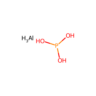 OP(O)O.[AlH3]